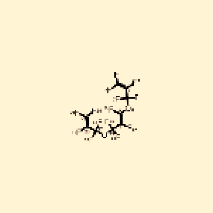 FC(F)=C(F)C(F)(F)OC(F)=C(F)C(F)(F)OC(F)(F)C(F)=C(F)F